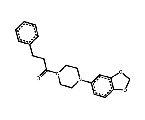 O=C(C[CH]c1ccccc1)N1CCN(c2ccc3c(c2)OCO3)CC1